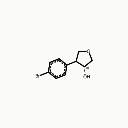 O[C@H]1COCC1c1ccc(Br)cc1